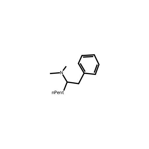 CCCCCC(Cc1ccccc1)N(C)C